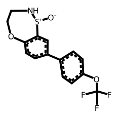 [O-][S+]1NCCOc2ccc(-c3ccc(OC(F)(F)F)cc3)cc21